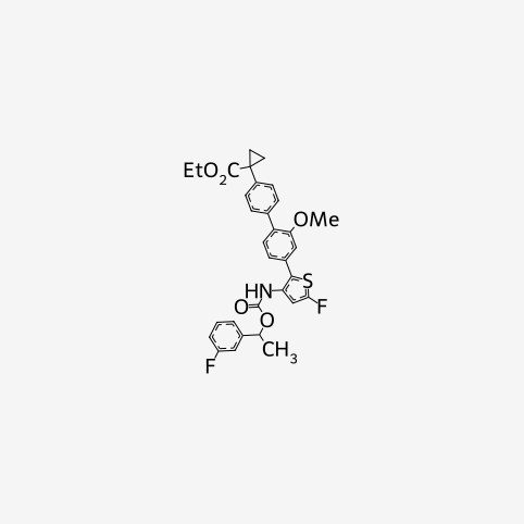 CCOC(=O)C1(c2ccc(-c3ccc(-c4sc(F)cc4NC(=O)OC(C)c4cccc(F)c4)cc3OC)cc2)CC1